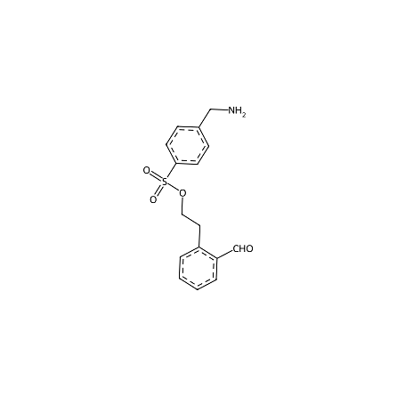 NCc1ccc(S(=O)(=O)OCCc2ccccc2C=O)cc1